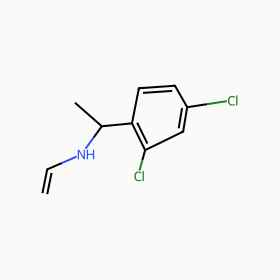 C=CNC(C)c1ccc(Cl)cc1Cl